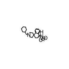 CS(=O)(=O)N[C@H]1CCC2(CCN(CC3CCCCC3)CC2)c2ccccc21